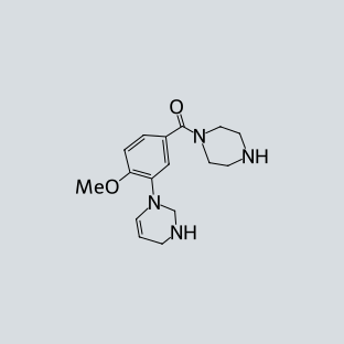 COc1ccc(C(=O)N2CCNCC2)cc1N1C=CCNC1